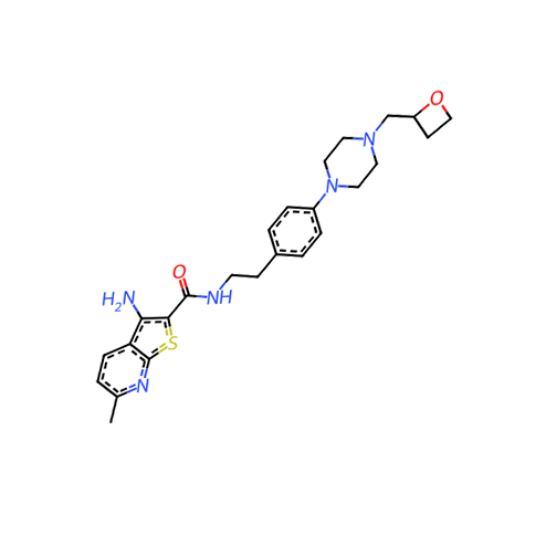 Cc1ccc2c(N)c(C(=O)NCCc3ccc(N4CCN(CC5CCO5)CC4)cc3)sc2n1